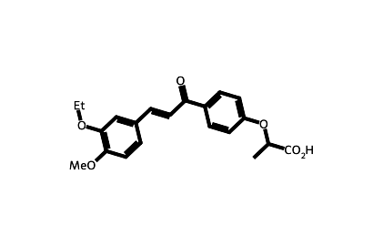 CCOc1cc(/C=C/C(=O)c2ccc(OC(C)C(=O)O)cc2)ccc1OC